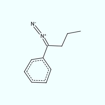 CCCC(=[N+]=[N-])c1ccccc1